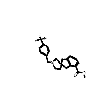 COC(=O)c1cccc2c1CC1(CCN(Cc3ccc(C(F)(F)F)cc3)C1)C2